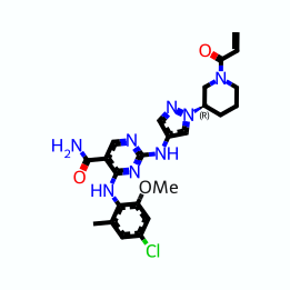 C=CC(=O)N1CCC[C@@H](n2cc(Nc3ncc(C(N)=O)c(Nc4c(C)cc(Cl)cc4OC)n3)cn2)C1